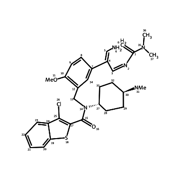 C=C(/N=C\C(=C/N)c1ccc(OC)c(CN(C(=O)c2sc3ccccc3c2Cl)[C@H]2CC[C@H](NC)CC2)c1)N(C)C